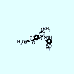 COCCNC(=O)c1ccc2c(c1)nc(Nc1nc3cc(OC(F)(F)F)ccc3[nH]1)n2CCOC